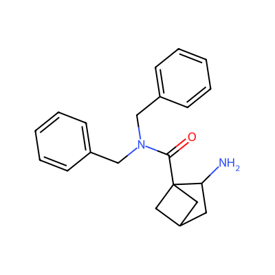 NC1CC2CC1(C(=O)N(Cc1ccccc1)Cc1ccccc1)C2